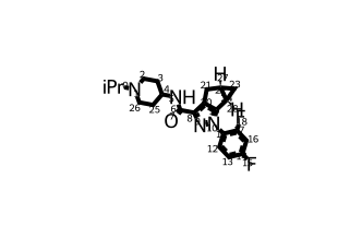 CC(C)N1CCC(NC(=O)c2nn(-c3ccc(F)cc3F)c3c2C[C@H]2C[C@@H]32)CC1